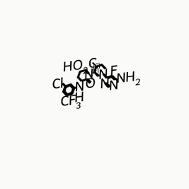 Nc1ncnc(N2CC[C@H](C(=O)O)[C@@H](N3CCCC(Nc4cc(Cl)cc(C(F)(F)F)c4)C3=O)C2)c1F